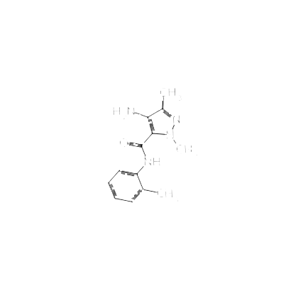 Cc1ccccc1NC(=O)c1c(N)c(C)nn1C